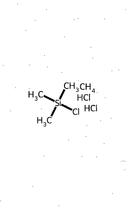 C.C[Si](C)(C)Cl.Cl.Cl